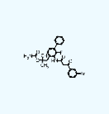 CC(C)(Cc1ccc(-c2ccccc2)c(F)c1NC(=O)CC(=O)c1cccc(Br)c1)OC(N)=O